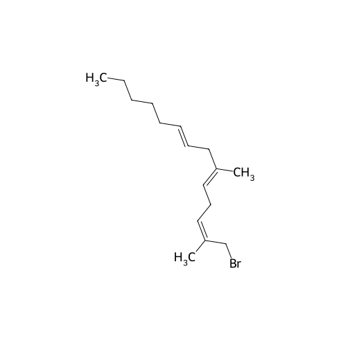 CCCCCC=CCC(C)=CCC=C(C)CBr